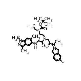 CCN(CCN(CC(=O)N(C)N1Cc2ccc(F)cc2C1)C(=O)CNc1cc2c(C)nn(C)c2cc1C)C(=O)OC(C)(C)C